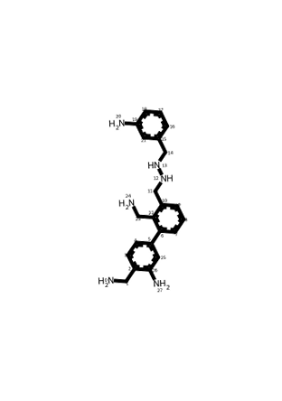 NCc1ccc(-c2cccc(CNNCc3cccc(N)c3)c2CN)cc1N